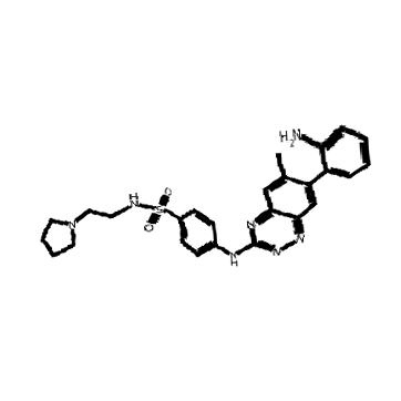 Cc1cc2nc(Nc3ccc(S(=O)(=O)NCCN4CCCC4)cc3)nnc2cc1-c1ccccc1N